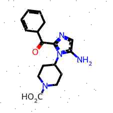 Nc1cnc(C(=O)C2C=CC=CC2)n1C1CCN(C(=O)O)CC1